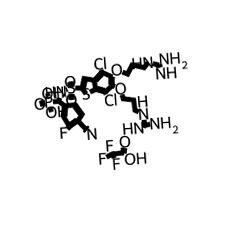 N#Cc1ccc(C(NS(=O)(=O)c2cc3c(Cl)c(OCCCNC(=N)N)c(OCCCNC(=N)N)c(Cl)c3s2)P(=O)(O)O)cc1F.O=C(O)C(F)(F)F